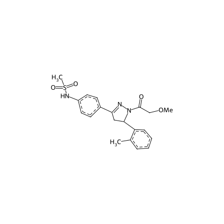 COCC(=O)N1N=C(c2ccc(NS(C)(=O)=O)cc2)CC1c1ccccc1C